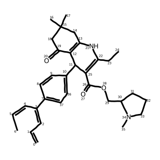 C=C/C=C(\C=C/C)c1ccc(C2C3=C(CC(C)(C)CC3=O)NC(CC)=C2C(=O)OCC2CCCN2C)cc1